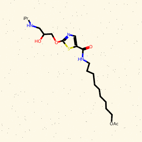 CC(=O)OCCCCCCCCCNC(=O)c1cnc(OCC(O)CNC(C)C)s1